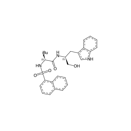 CCC(C)[C@H](NS(=O)(=O)c1cccc2ccccc12)C(=O)N[C@H](CO)Cc1c[nH]c2ccccc12